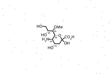 CO[C@@H]([C@@H]1OC(O)(C(=O)O)C[C@H](O)[C@H]1N)[C@H](O)CO